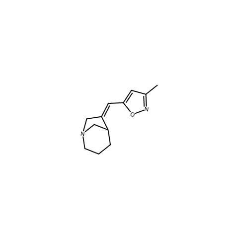 Cc1cc(C=C2CN3CCCC2C3)on1